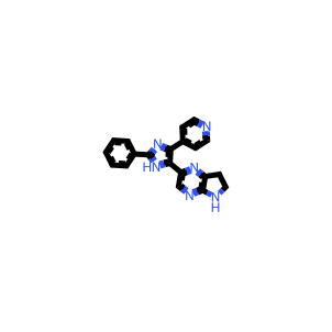 c1ccc(-c2nc(-c3ccncc3)c(-c3cnc4c(n3)CCN4)[nH]2)cc1